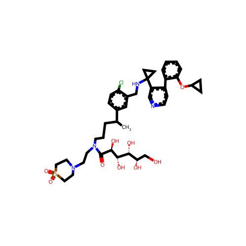 CC(CCCN(CCN1CCS(=O)(=O)CC1)C(=O)[C@@H](O)[C@@H](O)[C@H](O)[C@@H](O)CO)c1ccc(Cl)c(CNC2(c3cnccc3-c3ccccc3OC3CC3)CC2)c1